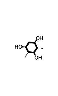 C[C@@H]1[C@@H](O)[C@H](C)[C@@H](O)C[C@H]1O